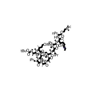 C/C=C/C[C@@H](C)[C@@H](OC(C)=O)[C@@H](C(=O)N[C@@H](CCC)C(=O)OCCN(C)C(C)=O)N(C)C(=O)[C@H](C(C)C)N(C)C(=O)[C@H](CC(C)C)N(C)C(=O)[C@H](CC(C)C)N(C)C(=O)[C@@H](C)NC(=O)[C@H](C)NC(=O)[C@H](CC(C)C)N(C)C(=O)[C@@H](NC(=O)[C@H]([C@H](C)CCOC)N(C)C(=O)[C@@H](C)N(C)C(=O)OC(C)(C)C)C(C)C